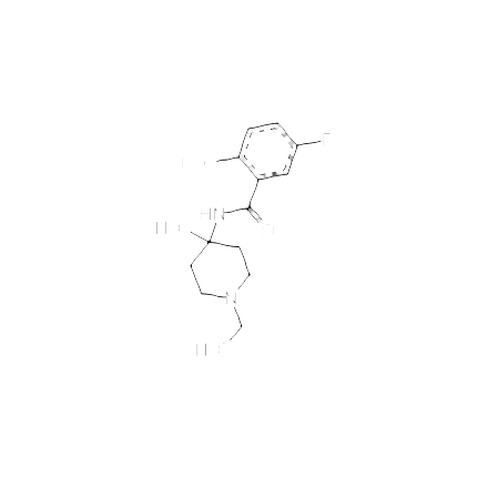 CCN1CCC(C)(NC(=O)c2cc(F)ccc2C)CC1